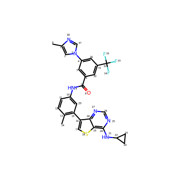 Cc1cn(-c2cc(C(=O)Nc3ccc(C)c(-c4csc5c(NC6CC6)ncnc45)c3)cc(C(F)(F)F)c2)cn1